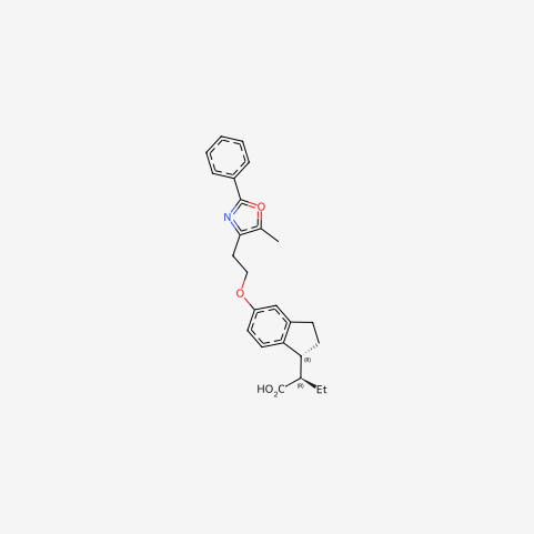 CC[C@@H](C(=O)O)[C@H]1CCc2cc(OCCc3nc(-c4ccccc4)oc3C)ccc21